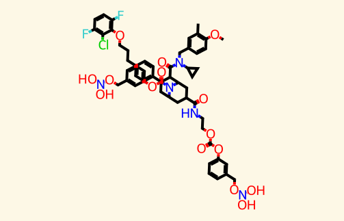 COc1ccc(CN(C(=O)C2C(c3ccc(CCCOc4c(F)ccc(F)c4Cl)cc3)CC3CC(C(=O)NCCOC(=O)Oc4cccc(CON(O)O)c4)CC2N3C(=O)Oc2cccc(CON(O)O)c2)C2CC2)cc1C